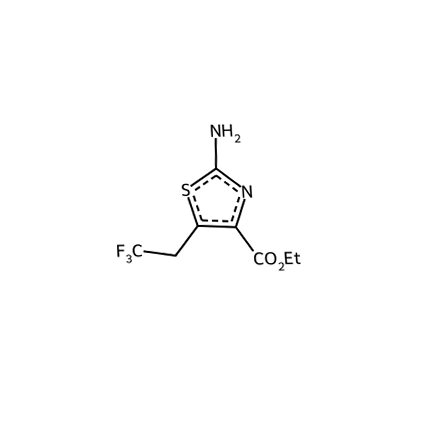 CCOC(=O)c1nc(N)sc1CC(F)(F)F